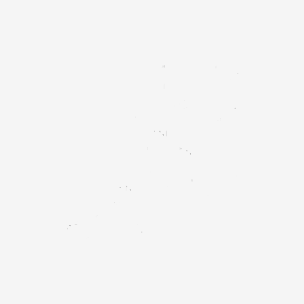 CS(=O)(=O)NC1CCN(C(=O)C23CC(C2)C3)C1Cc1cccc(-c2cccc(F)c2)n1